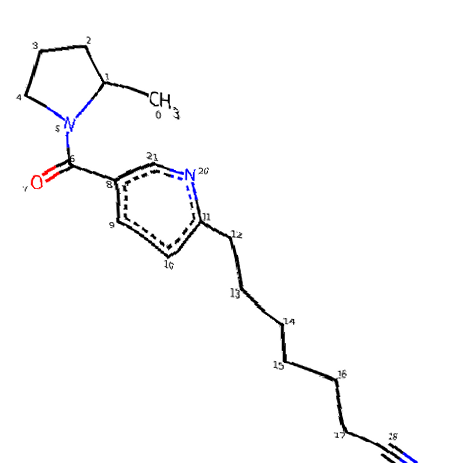 CC1CCCN1C(=O)c1ccc(CCCCCCC#N)nc1